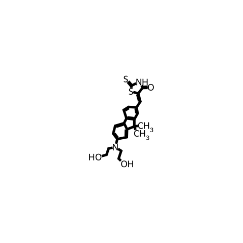 CC1(C)c2cc(/C=C3\SC(=S)NC3=O)ccc2-c2ccc(N(CCO)CCO)cc21